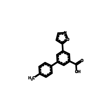 Cc1ccc(-c2cc(C(=O)O)cc(-c3ccno3)c2)cc1